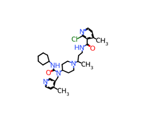 Cc1ccncc1CN(C(=O)NC1CCCCC1)C1CCN(C(C)CCNC(=O)c2c(C)ccnc2Cl)CC1